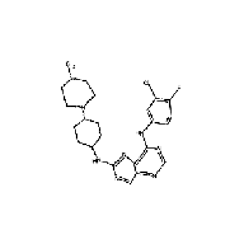 CN1CCN(C2CCC(Nc3ncc4ncnc(Nc5ccc(F)c(Cl)c5)c4n3)CC2)CC1